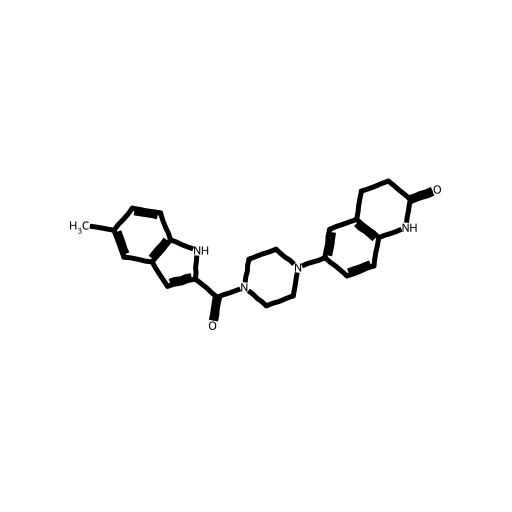 Cc1ccc2[nH]c(C(=O)N3CCN(c4ccc5c(c4)CCC(=O)N5)CC3)cc2c1